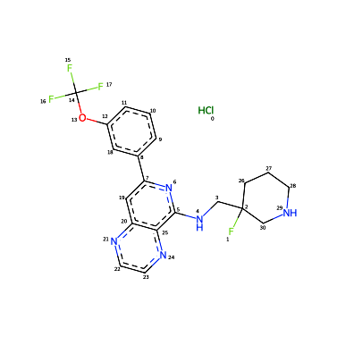 Cl.FC1(CNc2nc(-c3cccc(OC(F)(F)F)c3)cc3nccnc23)CCCNC1